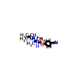 CC(C)(C)/N=N/C(C)(C)NC(=O)Oc1ccc(C#N)cc1